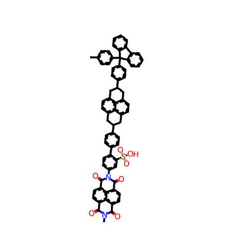 Cc1ccc(C2(c3ccc(C4Cc5ccc6c7c(ccc(c57)C4)CC(c4ccc(-c5ccc(N7C(=O)c8ccc9c%10c(ccc(c8%10)C7=O)C(=O)N(C)C9=O)cc5S(=O)(=O)O)cc4)C6)cc3)c3ccccc3-c3ccccc32)cc1